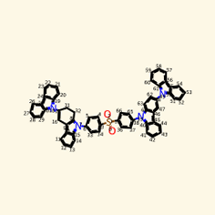 O=S(=O)(c1ccc(-n2c3c(c4ccccc42)C=C(n2c4ccccc4c4ccccc42)CC3)cc1)c1ccc(-n2c3ccccc3c3cc(-n4c5ccccc5c5ccccc54)ccc32)cc1